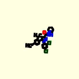 C#Cc1ccc(-c2c(C)c(C(=O)NN3CCCCC3)nn2-c2ccc(Cl)cc2Cl)cc1